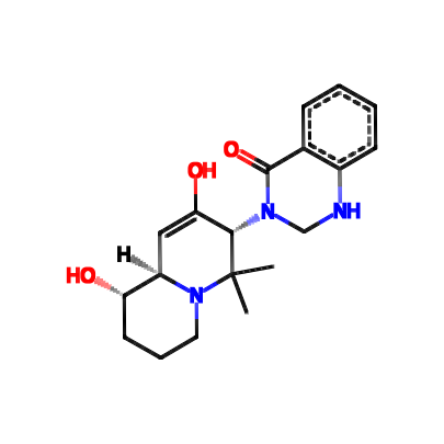 CC1(C)[C@@H](N2CNc3ccccc3C2=O)C(O)=C[C@@H]2[C@@H](O)CCCN21